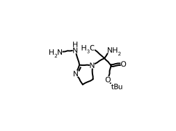 CC(C)(C)OC(=O)C(C)(N)N1CCN=C1NN